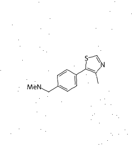 CNCc1ccc(-c2scnc2C)cc1